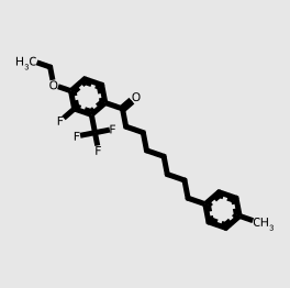 CCOc1ccc(C(=O)CCCCCCCc2ccc(C)cc2)c(C(F)(F)F)c1F